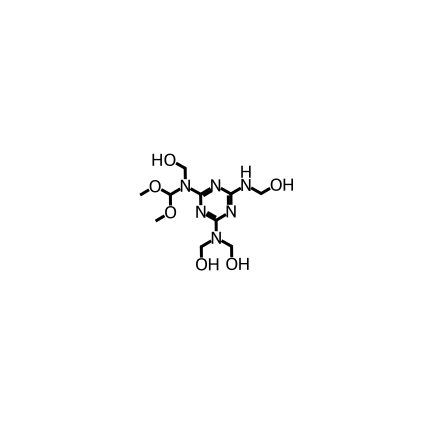 COC(OC)N(CO)c1nc(NCO)nc(N(CO)CO)n1